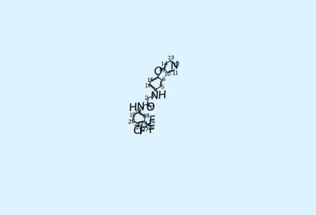 O=C(CNc1ccc(Oc2ccncc2)cc1)Nc1ccc(Cl)c(C(F)(F)F)c1